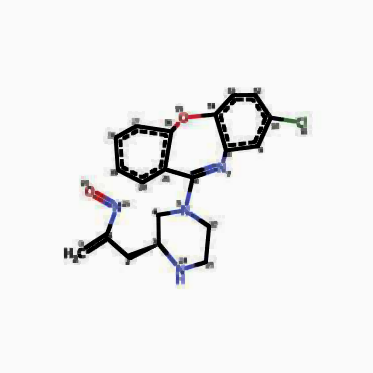 C=C(C[C@H]1CN(C2=Nc3cc(Cl)ccc3Oc3ccccc32)CCN1)N=O